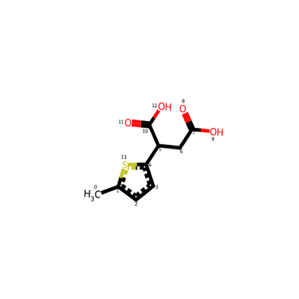 Cc1ccc(C(CC(=O)O)C(=O)O)s1